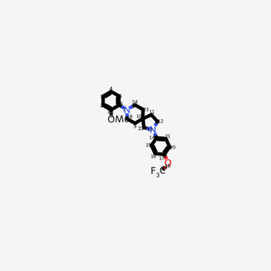 COc1ccccc1N1CCC2(CCN(c3ccc(OC(F)(F)F)cc3)C2)CC1